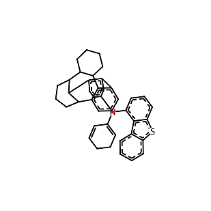 C1=CC(N(c2ccc3c(c2)-c2cccc4c2C2CCCCC2C2CCCC4C32)c2cccc3sc4ccccc4c23)=CCC1